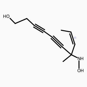 C/C=C\C(C)(C#CC#CCCO)NO